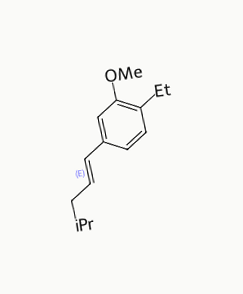 CCc1ccc(/C=C/CC(C)C)cc1OC